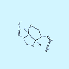 [N-]=[N+]=N[C@H]1CO[C@H]2[C@@H]1OC[C@@H]2N=[N+]=[N-]